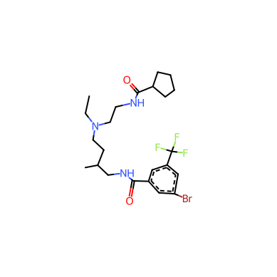 CCN(CCNC(=O)C1CCCC1)CCC(C)CNC(=O)c1cc(Br)cc(C(F)(F)F)c1